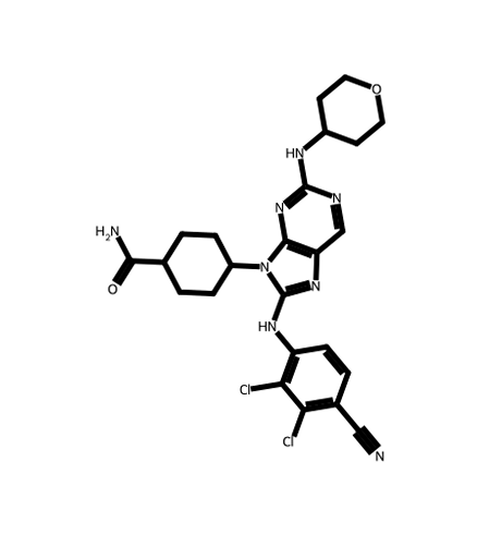 N#Cc1ccc(Nc2nc3cnc(NC4CCOCC4)nc3n2C2CCC(C(N)=O)CC2)c(Cl)c1Cl